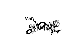 CCCn1c(=O)n(C2CC2)c(=O)c2[nH]c(-c3ccc(N(CCOC)C(=O)Nc4ccccc4F)nc3)nc21